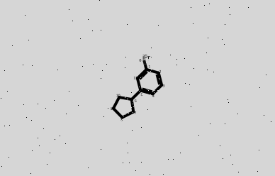 C[C](C)c1cccc(C2CCCC2)c1